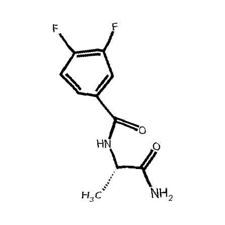 C[C@H](NC(=O)c1ccc(F)c(F)c1)C(N)=O